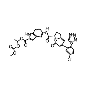 COC(=O)OC(C)OC(=O)c1cc2cc(NC(=O)[C@@H]3CCc4cc(-c5cc(Cl)ccc5-n5cnnn5)cc(=O)n43)ccc2[nH]1